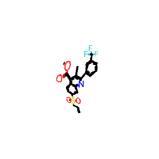 C=CCS(=O)(=O)c1ccc2c(C(=O)OC)c(C)c(-c3cccc(C(F)(F)F)c3)nc2c1